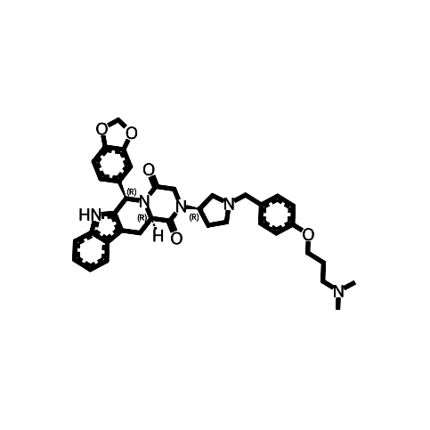 CN(C)CCCOc1ccc(CN2CC[C@@H](N3CC(=O)N4[C@H](c5ccc6c(c5)OCO6)c5[nH]c6ccccc6c5C[C@@H]4C3=O)C2)cc1